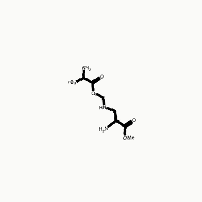 CCCCC(N)C(=O)OCNCC(N)C(=O)OC